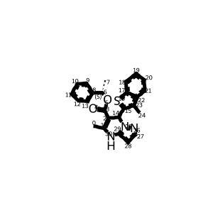 CC1=C(C(=O)O[C@@H](C)c2ccccc2)C(c2sc3ccccc3c2C)n2nccc2N1